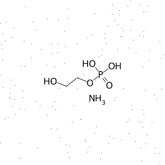 N.O=P(O)(O)OCCO